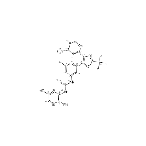 CC(C)(C)c1nc(-c2ccnc(N)n2)c(-c2cc(F)cc(NC(=O)Nc3cc(F)ccc3F)c2)s1